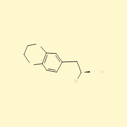 N[C@@H](Cc1ccc2c(c1)OCCO2)C(=O)O